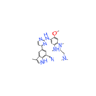 CNc1cc(Nc2nccc(-c3cc(C#N)c4[nH]cc(C)c4c3)n2)c(OC)cc1N(C)CCN(C)C